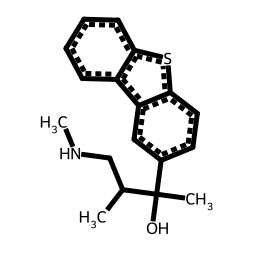 CNCC(C)C(C)(O)c1ccc2sc3ccccc3c2c1